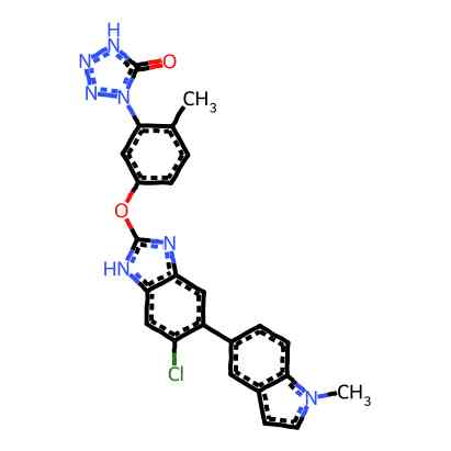 Cc1ccc(Oc2nc3cc(-c4ccc5c(ccn5C)c4)c(Cl)cc3[nH]2)cc1-n1nn[nH]c1=O